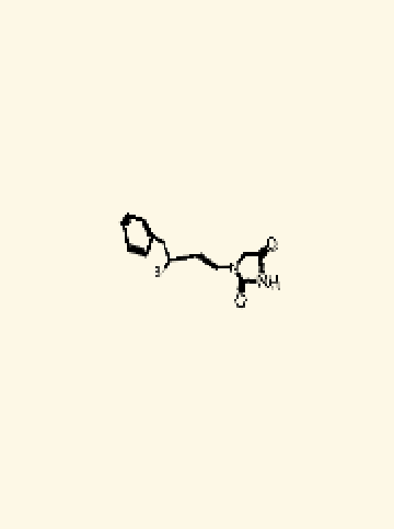 O=C1CN(CCC(Br)Cc2ccccc2)C(=O)N1